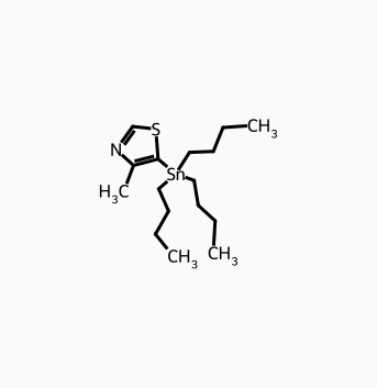 CCC[CH2][Sn]([CH2]CCC)([CH2]CCC)[c]1scnc1C